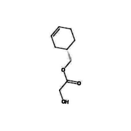 O=C(CO)OC[C@@H]1CC=CCC1